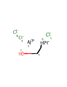 CCCCO.[Al+3].[Cl-].[Cl-].[Cl-]